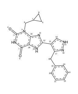 O=c1[nH]c(=O)n(CC2CC2)c2nc(-c3c[nH]nc3Cc3ccccc3)[nH]c12